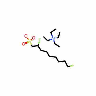 CC[N+](CC)(CC)CC.O=S(=O)([O-])CC(F)CCCCCCCF